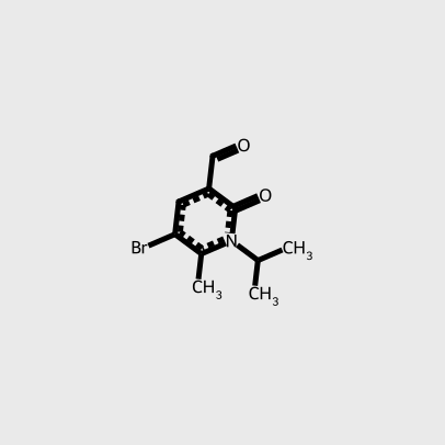 Cc1c(Br)cc(C=O)c(=O)n1C(C)C